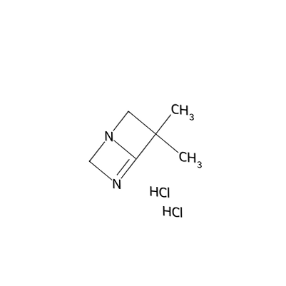 CC1(C)CN2CN=C21.Cl.Cl